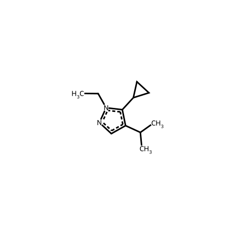 CCn1ncc(C(C)C)c1C1CC1